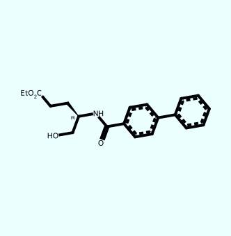 CCOC(=O)CC[C@H](CO)NC(=O)c1ccc(-c2ccccc2)cc1